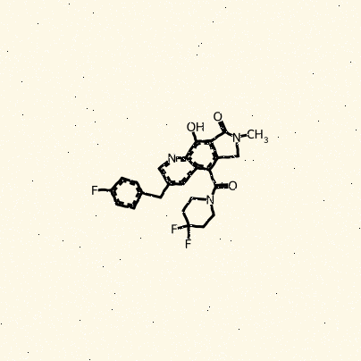 CN1Cc2c(c(O)c3ncc(Cc4ccc(F)cc4)cc3c2C(=O)N2CCC(F)(F)CC2)C1=O